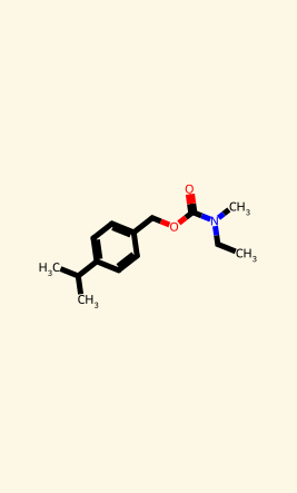 CCN(C)C(=O)OCc1ccc(C(C)C)cc1